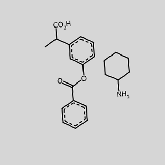 CC(C(=O)O)c1cccc(OC(=O)c2ccccc2)c1.NC1CCCCC1